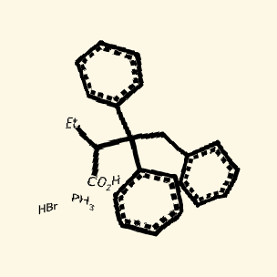 Br.CCC(C(=O)O)C(Cc1ccccc1)(c1ccccc1)c1ccccc1.P